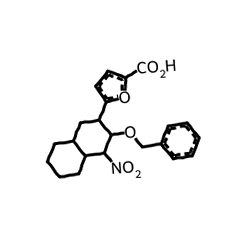 O=C(O)c1ccc(C2CC3CCCCC3C([N+](=O)[O-])C2OCc2ccccc2)o1